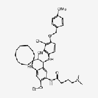 CCOc1cc2c(cc1NC(=O)CCCN(C)C)C(Nc1ccc(OCc3ccc(OC)cn3)c(Cl)c1)C(C#N)C1(CCCCCCCCC1)N2